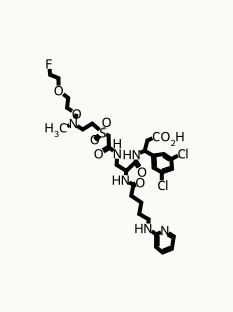 CN(CCS(=O)(=O)CC(=O)NCC(NC(=O)CCCCNc1ccccn1)C(=O)NC(CC(=O)O)c1cc(Cl)cc(Cl)c1)OCCOCCF